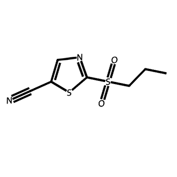 CCCS(=O)(=O)c1ncc(C#N)s1